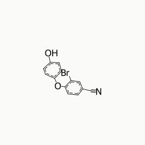 N#Cc1ccc(Oc2ccc(O)cc2)c(Br)c1